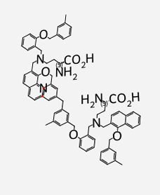 Cc1cccc(COc2ccccc2CN(CC[C@H](N)C(=O)O)Cc2ccc3cccnc3c2OCc2cccc(Cc3cc(C)cc(COc4ccccc4CN(CC[C@H](N)C(=O)O)Cc4ccc5ccccc5c4OCc4cccc(C)c4)c3)c2)c1